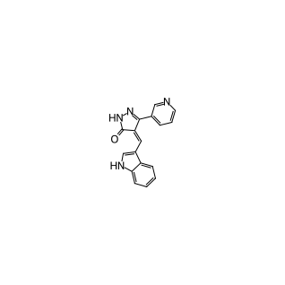 O=C1NN=C(c2cccnc2)/C1=C/c1c[nH]c2ccccc12